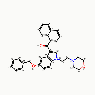 O=C(c1cccc2ccccc12)c1cn(CCN2CCOCC2)c2ccc(OCc3ccccc3)cc12